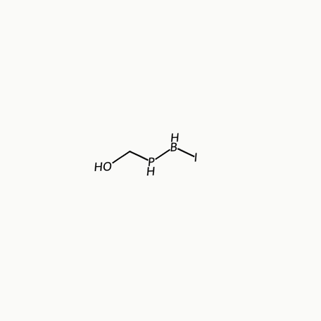 OCPBI